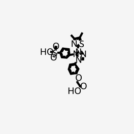 Cc1nc(N2N=CN(c3cccc(OCC(=O)O)c3)N2c2ccc(S(=O)(=O)O)cc2)sc1C